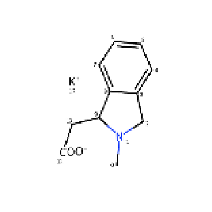 CN1Cc2ccccc2C1CC(=O)[O-].[K+]